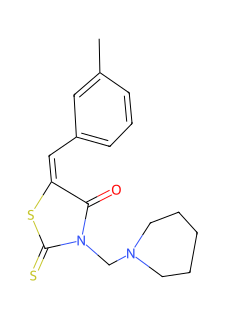 Cc1cccc(/C=C2/SC(=S)N(CN3CCCCC3)C2=O)c1